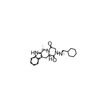 C[C@H]1c2[nH]c3ccccc3c2C[C@H]2C(=O)N(/N=C/C3CCCCC3)CC(=O)N21